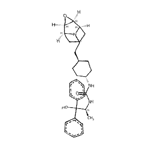 C[C@H](NC(=O)N[C@H]1CC[C@H](CCN2[C@@H]3C[CH]C[C@H]2[C@H]2O[C@H]23)CC1)C(O)(c1ccccc1)c1ccccc1